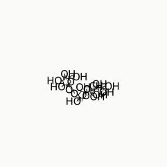 C[C@@](CO)(O[C@H]1OC[C@@H](O)C(OCO[C@H]2OC(CO)[C@H](O)C(O)C2O)C1O)C(O)[C@H](O)[C@H](O)CO